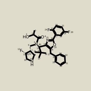 CC(O)C(=O)N(C[C@@H]1CNC[C@@H]1F)[C@@H](c1nc(-c2cc(F)ccc2F)oc1Cc1ccccc1)C(C)(C)C